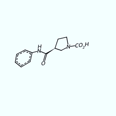 O=C(Nc1ccccc1)[C@H]1CCN(C(=O)O)C1